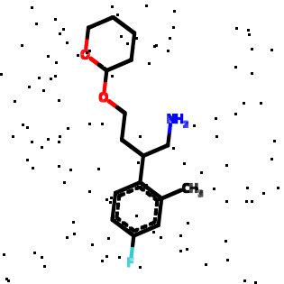 Cc1cc(F)ccc1C(CN)CCOC1CCCCO1